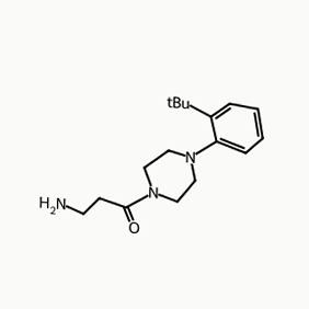 CC(C)(C)c1ccccc1N1CCN(C(=O)CCN)CC1